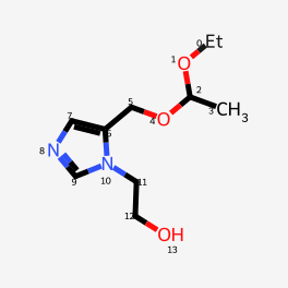 CCOC(C)OCc1cncn1CCO